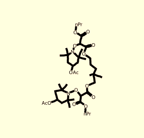 CCCOC(=O)C(ON1C(C)(C)CC(OC(C)=O)CC1(C)C)C(=O)OCCCC(C)(C)COC(=O)C(ON1C(C)(C)CC(OC(C)=O)CC1(C)C)C(=O)OCCC